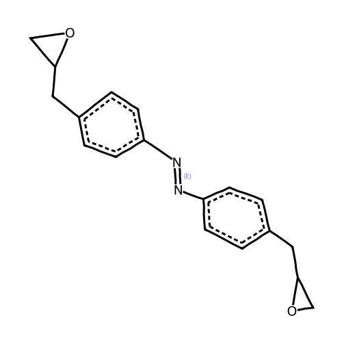 c1cc(/N=N/c2ccc(CC3CO3)cc2)ccc1CC1CO1